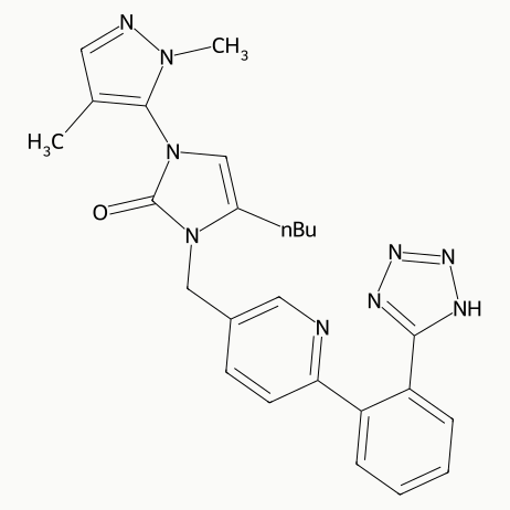 CCCCc1cn(-c2c(C)cnn2C)c(=O)n1Cc1ccc(-c2ccccc2-c2nnn[nH]2)nc1